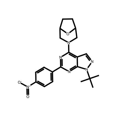 CC(C)(C)n1ncc2c(N3CC4CCC(C3)O4)nc(-c3ccc([N+](=O)[O-])cc3)nc21